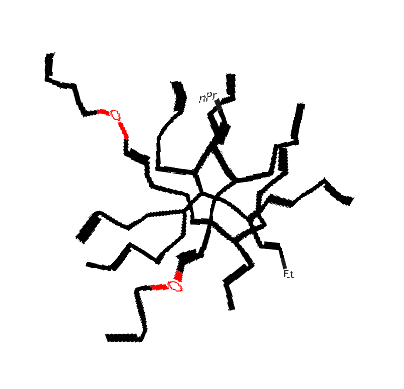 C=CCCOC=CCCCC(C=COCC=C)(C(/C=C/C)CCC=C)C([C](C(CCC=C)CCC=C)C(CCC=C)CC/C=C/C)(C(/C=C/CC)CCC=C)C(/C=C/CCC)CCC=C